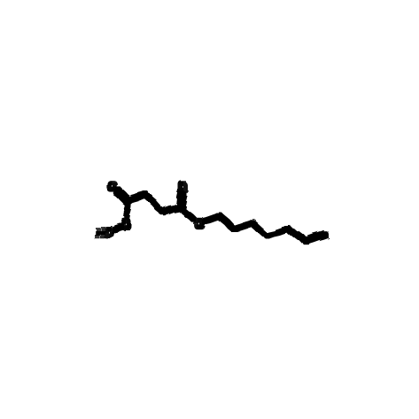 CCCCCCCOC(=O)CCC(=O)OO